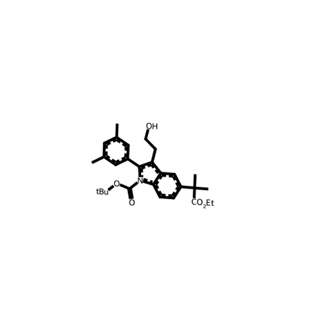 CCOC(=O)C(C)(C)c1ccc2c(c1)c(CCO)c(-c1cc(C)cc(C)c1)n2C(=O)OC(C)(C)C